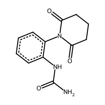 NC(=O)Nc1ccccc1N1C(=O)CCCC1=O